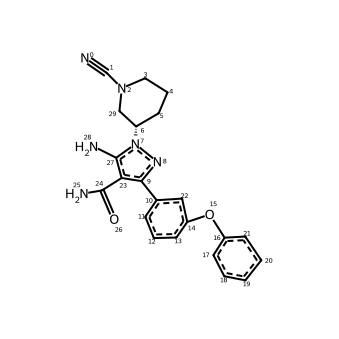 N#CN1CCC[C@H](n2nc(-c3cccc(Oc4ccccc4)c3)c(C(N)=O)c2N)C1